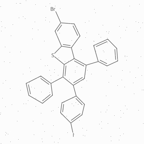 Brc1ccc2c(c1)sc1c(-c3ccccc3)c(-c3ccc(I)cc3)cc(-c3ccccc3)c12